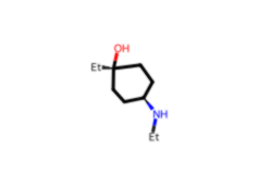 CCN[C@H]1CC[C@@](O)(CC)CC1